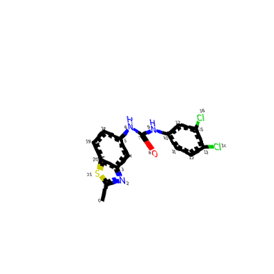 Cc1nc2cc(NC(=O)Nc3ccc(Cl)c(Cl)c3)ccc2s1